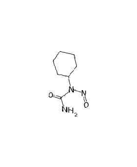 NC(=O)N(N=O)C1CCCCC1